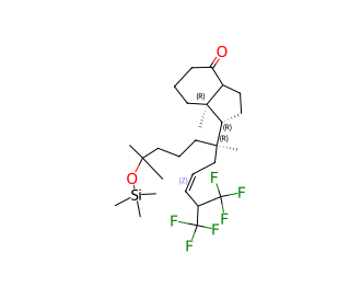 CC(C)(CCC[C@](C)(C/C=C\C(C(F)(F)F)C(F)(F)F)[C@H]1CCC2C(=O)CCC[C@@]21C)O[Si](C)(C)C